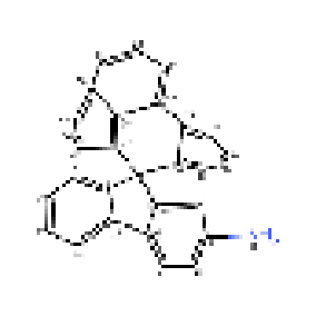 Nc1ccc2c(c1)C1(c3ccccc3-2)c2ccccc2-c2cccc3cccc1c23